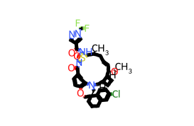 CO[C@H]1/C=C/C[C@H](C)CS(=O)(NC(=O)c2cnn(C(F)F)c2)=NC(=O)c2ccc3c(c2)N(C[C@@H]2CC[C@H]21)C[C@@]1(CCCc2cc(Cl)ccc21)CO3